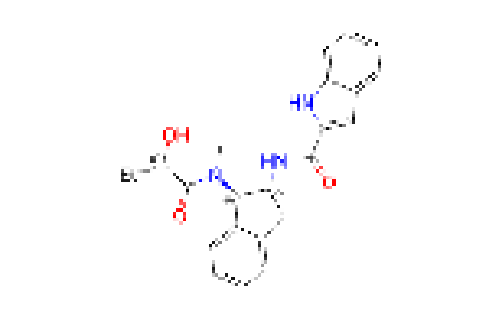 CC[C@H](O)C(=O)N(C)[C@@H]1c2ccccc2C[C@H]1NC(=O)c1cc2ccccc2[nH]1